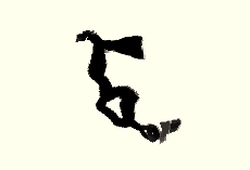 CCCC(=Cc1ccc(C(=O)O)cc1)C1CC1